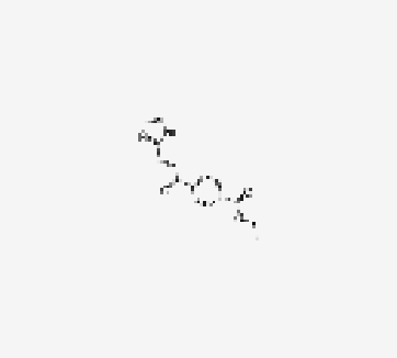 CCOC(=O)c1ccc(C(=O)C=Cc2ncc[nH]2)cc1